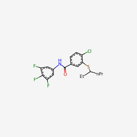 CCCC(CC)Sc1cc(C(=O)Nc2cc(F)c(F)c(F)c2)ccc1Cl